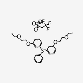 CCOCCOc1cccc([S+](c2ccccc2)c2cccc(OCCOCC)c2)c1.O=S(=O)([O-])CC(F)(F)F